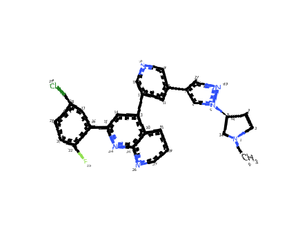 CN1CC[C@H](n2cc(-c3cncc(-c4cc(-c5cc(Cl)ccc5F)nc5ncccc45)c3)cn2)C1